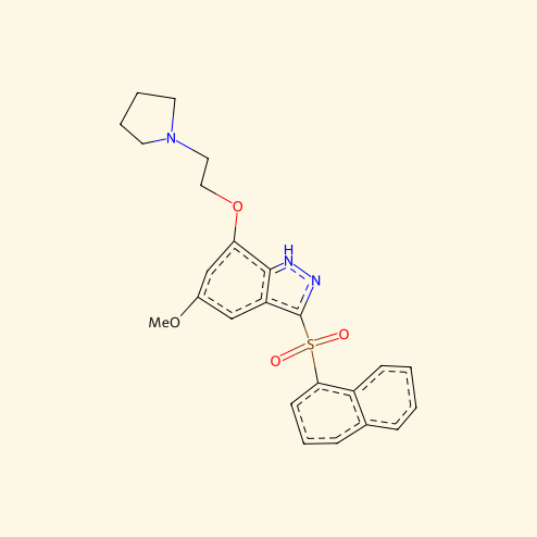 COc1cc(OCCN2CCCC2)c2[nH]nc(S(=O)(=O)c3cccc4ccccc34)c2c1